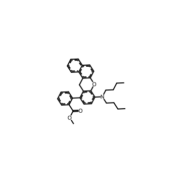 CCCCN(CCCC)c1ccc(-c2ccccc2C(=O)OC)c2c1Oc1ccc3ccccc3c1C2